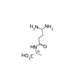 C[C@@H](NC(=O)CCC(N)N)C(=O)O